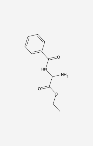 CCOC(=O)C(N)NC(=O)c1ccccc1